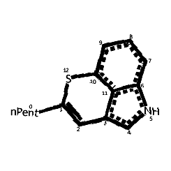 CCCCCC1=Cc2c[nH]c3cccc(c23)S1